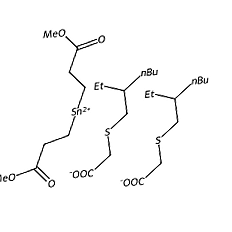 CCCCC(CC)CSCC(=O)[O-].CCCCC(CC)CSCC(=O)[O-].COC(=O)C[CH2][Sn+2][CH2]CC(=O)OC